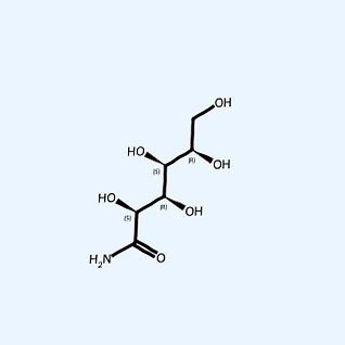 NC(=O)[C@@H](O)[C@H](O)[C@@H](O)[C@H](O)CO